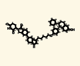 O=C1CCC(N2Cc3cc(-c4ccc5[nH]cc(CCCCCOc6ccc([C@@H]7c8ccc(O)cc8CC[C@@H]7c7ccccc7)cc6)c5c4)ccc3C2=O)C(=O)N1